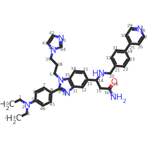 [CH2]CN(C[CH2])c1ccc(-c2nc3cc(C(CC(N)=O)NCc4ccc(-c5ccncc5)cc4)ccc3n2CCCn2ccnc2)cc1